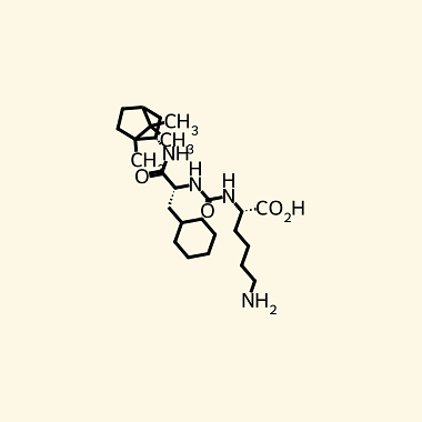 CC1(C)C2CCC1(C)[C@@H](NC(=O)[C@@H](CC1CCCCC1)NC(=O)N[C@@H](CCCCN)C(=O)O)C2